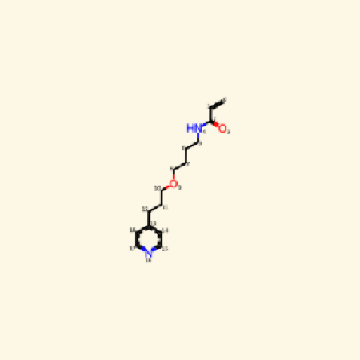 C=CC(=O)NCCCCOCCCc1ccncc1